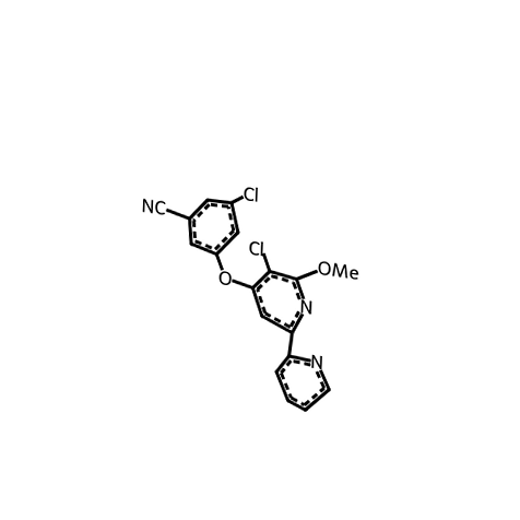 COc1nc(-c2ccccn2)cc(Oc2cc(Cl)cc(C#N)c2)c1Cl